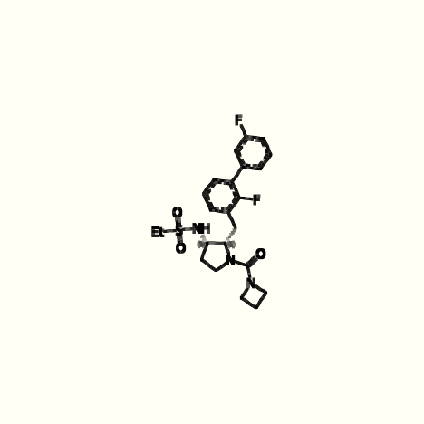 CCS(=O)(=O)N[C@H]1CCN(C(=O)N2CCC2)[C@H]1Cc1cccc(-c2cccc(F)c2)c1F